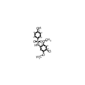 COc1cc(NS(=O)(=O)c2ccc(O)cc2)c(OC)cc1Cl